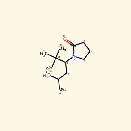 CCCCC(C)CC(N1CCCC1=O)C(C)(C)CCC